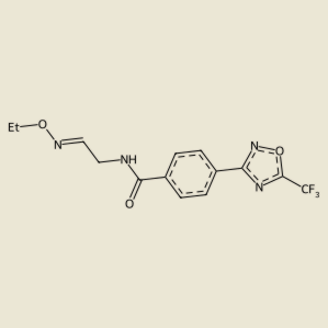 CCON=CCNC(=O)c1ccc(-c2noc(C(F)(F)F)n2)cc1